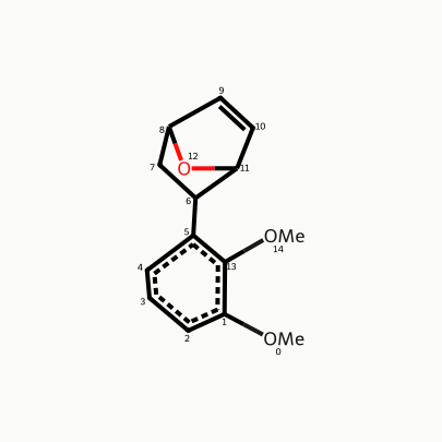 COc1cccc(C2CC3C=CC2O3)c1OC